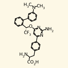 CN(C)c1cccc(-c2ccccc2[C@H](Oc2cc(-c3ccc(CC(N)C(=O)O)cc3)nc(N)n2)C(F)(F)F)c1